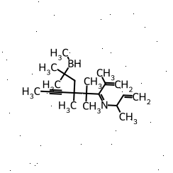 C=CC(C)/N=C(\C(=C)C)C(C)(C)C(C)(C#CC)CC(C)(C)BC